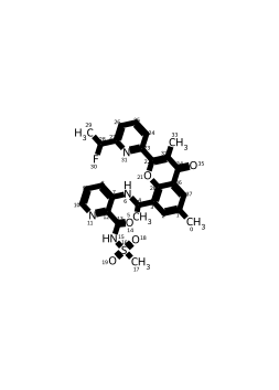 Cc1cc(C(C)Nc2cccnc2C(=O)NS(C)(=O)=O)c2oc(-c3cccc(C(C)F)n3)c(C)c(=O)c2c1